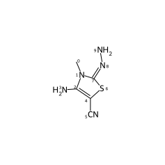 Cn1c(N)c(C#N)s/c1=N/N